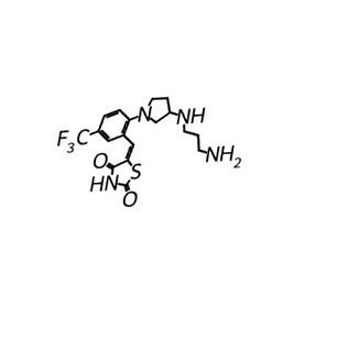 NCCCNC1CCN(c2ccc(C(F)(F)F)cc2C=C2SC(=O)NC2=O)C1